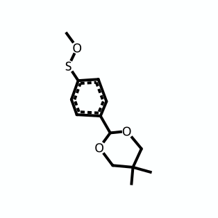 COSc1ccc(C2OCC(C)(C)CO2)cc1